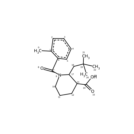 Cc1ccccc1C(=O)N1CCCC(C(=O)O)C1CC(C)(C)C